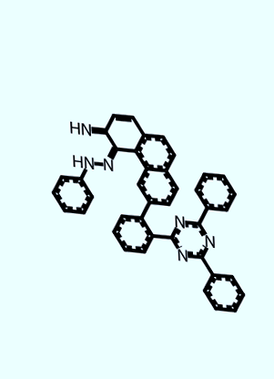 N=C1C=Cc2ccc3ccc(-c4ccccc4-c4nc(-c5ccccc5)nc(-c5ccccc5)n4)cc3c2/C1=N/Nc1ccccc1